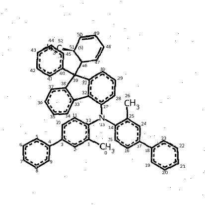 Cc1cc(-c2ccccc2)ccc1N(c1ccc(-c2ccccc2)cc1C)c1cccc2c1-c1ccccc1C2(c1ccccc1)C1C=CC=C[C@@H]1C